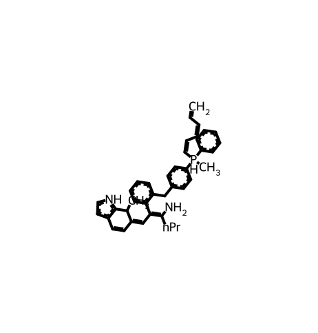 C=C/C=C\C=C/[PH](C)(c1ccccc1)c1ccc(Cc2ccccc2C(/C=C2/C=Cc3cc[nH]c3C2C)=C(\N)CCC)cc1